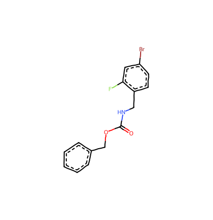 O=C(NCc1ccc(Br)cc1F)OCc1ccccc1